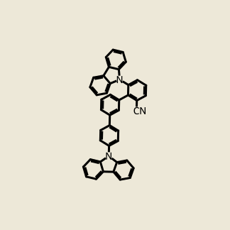 N#Cc1cccc(-n2c3ccccc3c3ccccc32)c1-c1cccc(-c2ccc(-n3c4ccccc4c4ccccc43)cc2)c1